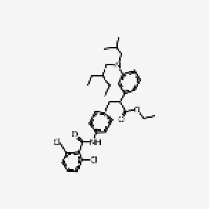 CCOC(=O)C(Cc1ccc(NC(=O)c2c(Cl)cccc2Cl)cc1)c1cccc(N(CC(C)C)CC(CC)CC)c1